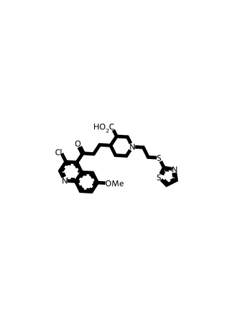 COc1ccc2ncc(Cl)c(C(=O)CCC3CCN(CCSc4nccs4)CC3C(=O)O)c2c1